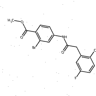 COC(=O)c1ccc(NC(=O)Cc2cc(F)ccc2Cl)cc1Br